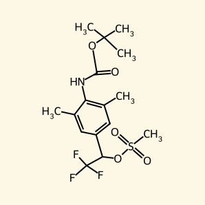 Cc1cc(C(OS(C)(=O)=O)C(F)(F)F)cc(C)c1NC(=O)OC(C)(C)C